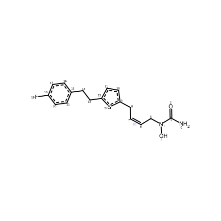 NC(=O)N(O)C/C=C\Cc1ccc(CCc2ccc(F)cc2)s1